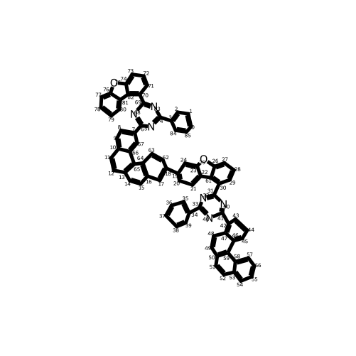 c1ccc(-c2nc(-c3ccc4ccc5ccc6cc(-c7ccc8c(c7)oc7cccc(-c9nc(-c%10ccccc%10)nc(-c%10cccc%11c%10ccc%10ccc%12ccccc%12c%10%11)n9)c78)ccc6c5c4c3)nc(-c3cccc4oc5ccccc5c34)n2)cc1